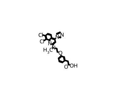 CN(CCOc1cccc(CC(=O)O)c1)c1cc(-n2ccnc2)c2ccc(Cl)c(Cl)c2n1